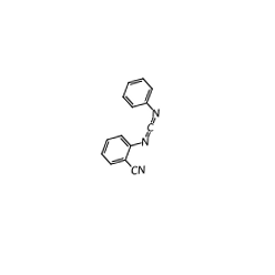 N#Cc1ccccc1N=C=Nc1ccccc1